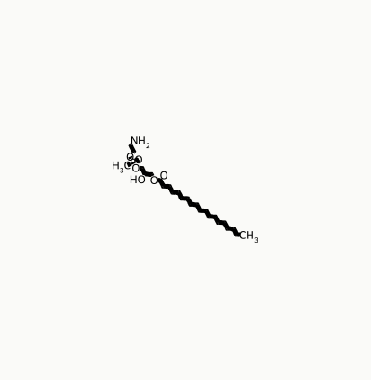 CCCCCCCCCCCCCCCCCCC(=O)OCC(O)COP(C)(=O)OCCN